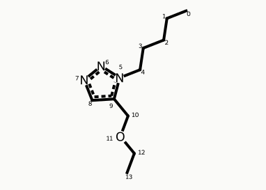 CCCCCn1nncc1COCC